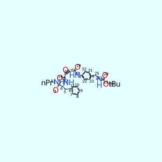 CCCNC(=O)[C@H](Cc1ccccc1)NC(=O)[C@H]1O[C@@H]1C(=O)Nc1ccc(CNC(=O)OC(C)(C)C)cc1